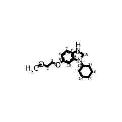 COCCOc1ccc2c(c1)N(C1CCCCC1)[CH]N2